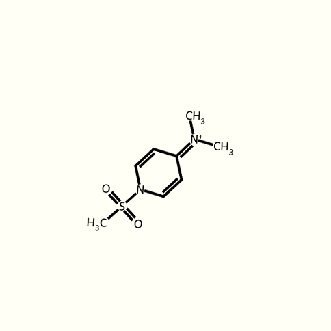 C[N+](C)=c1ccn(S(C)(=O)=O)cc1